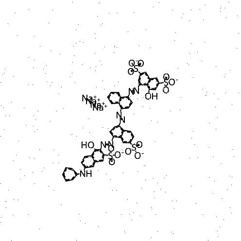 O=S(=O)([O-])c1cc(O)c2c(N=Nc3ccc(N=Nc4ccc(N=Nc5c(S(=O)(=O)[O-])cc6cc(Nc7ccccc7)ccc6c5O)c5cc(S(=O)(=O)[O-])ccc45)c4ccccc34)cc(S(=O)(=O)[O-])cc2c1.[Na+].[Na+].[Na+].[Na+]